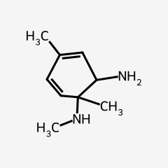 CNC1(C)C=CC(C)=CC1N